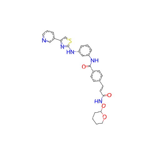 O=C(C=Cc1ccc(C(=O)Nc2cccc(Nc3nc(-c4cccnc4)cs3)c2)cc1)NOC1CCCCO1